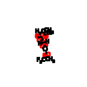 CCC(C)(C)C(=O)OC1C(=O)OC2C1O[C@@H]1OC3(CCC(C(=O)OC(C)C(F)(F)F)CC3)O[C@H]21